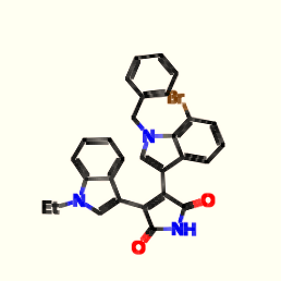 CCn1cc(C2=C(c3cn(Cc4ccccc4)c4c(Br)cccc34)C(=O)NC2=O)c2ccccc21